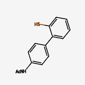 CC(=O)Nc1ccc(-c2ccccc2S)cc1